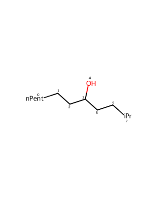 CCCCCCCC(O)CCC(C)C